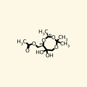 CC(=O)OC[C@H]1O[C@@H](C)OC(C)(C)OCC1(O)O